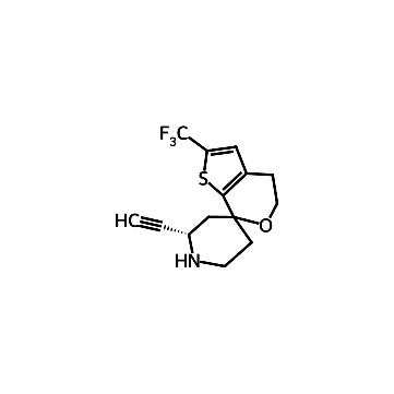 C#C[C@@H]1CC2(CCN1)OCCc1cc(C(F)(F)F)sc12